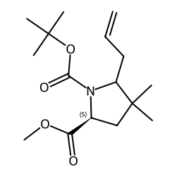 C=CCC1N(C(=O)OC(C)(C)C)[C@H](C(=O)OC)CC1(C)C